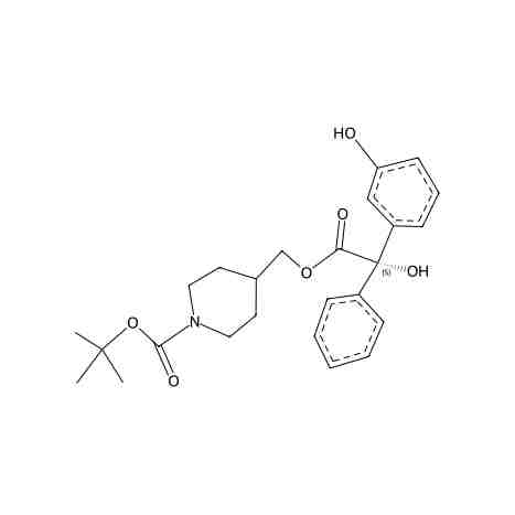 CC(C)(C)OC(=O)N1CCC(COC(=O)[C@](O)(c2ccccc2)c2cccc(O)c2)CC1